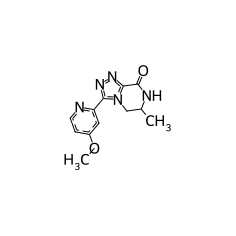 COc1ccnc(-c2nnc3n2CC(C)NC3=O)c1